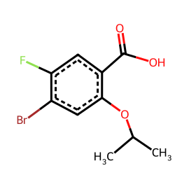 CC(C)Oc1cc(Br)c(F)cc1C(=O)O